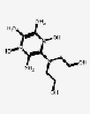 NC1=C(N)N(O)C(N(CCO)CCO)=C(N)N1O